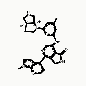 Cc1cc(Nc2cnc(-c3ccnc4c3ccn4C)c3c2C(=O)NC3)nc(N2CC[C@H]3CNC[C@H]32)c1